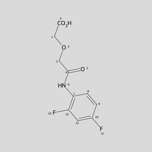 O=C(O)COCC(=O)Nc1ccc(F)cc1F